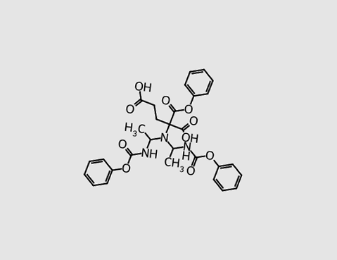 CC(NC(=O)Oc1ccccc1)N(C(C)NC(=O)Oc1ccccc1)C(CCC(=O)O)(C(=O)O)C(=O)Oc1ccccc1